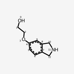 OCCOc1ccc2c(c1)CNC2